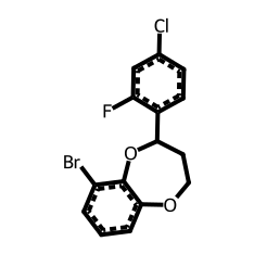 Fc1cc(Cl)ccc1C1CCOc2cccc(Br)c2O1